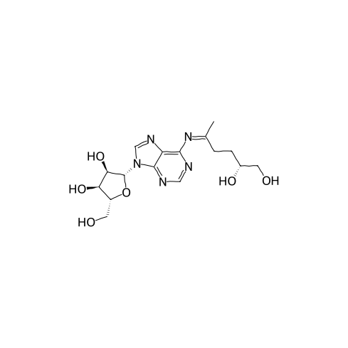 CC(CC[C@@H](O)CO)=Nc1ncnc2c1ncn2[C@@H]1O[C@H](CO)[C@@H](O)[C@H]1O